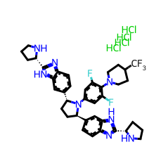 Cl.Cl.Cl.Cl.Fc1cc(N2[C@@H](c3ccc4nc([C@@H]5CCCN5)[nH]c4c3)CC[C@@H]2c2ccc3nc([C@@H]4CCCN4)[nH]c3c2)cc(F)c1N1CCC(C(F)(F)F)CC1